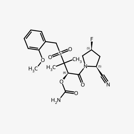 COc1ccccc1CS(=O)(=O)C(C)(C)[C@H](OC(N)=O)C(=O)N1C[C@@H](F)C[C@H]1C#N